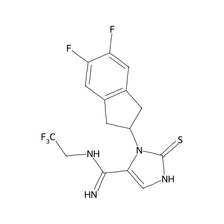 N=C(NCC(F)(F)F)c1c[nH]c(=S)n1C1Cc2cc(F)c(F)cc2C1